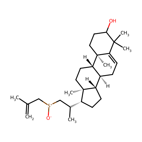 C=C(C)C[S+]([O-])CC(C)[C@H]1CC[C@H]2[C@@H]3CC=C4C(C)(C)C(O)CC[C@]4(C)[C@H]3CC[C@]12C